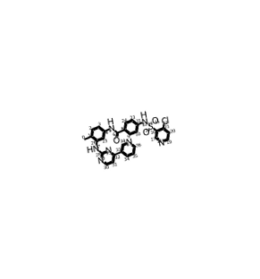 Cc1ccc(NC(=O)c2ccc(NS(=O)(=O)c3cnccc3Cl)cc2)cc1Nc1nccc(-c2cccnc2)n1